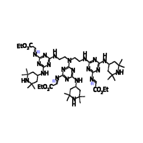 CCOC(=O)/C=N/c1nc(NCCN(CCNc2nc(/N=C/C(=O)OCC)nc(NC3CC(C)(C)NC(C)(C)C3)n2)c2nc(/N=C/C(=O)OCC)nc(NC3CC(C)(C)NC(C)(C)C3)n2)nc(NC2CC(C)(C)NC(C)(C)C2)n1